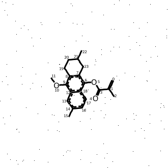 C=C(C)C(=O)Oc1c2c(c(OC)c3cc(C)ccc13)CCC(C)C2